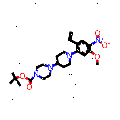 C=Cc1cc([N+](=O)[O-])c(OC)cc1N1CCC(N2CCN(C(=O)OC(C)(C)C)CC2)CC1